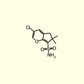 CC1(C)CC2=CC(Cl)=COC2=C1S(N)(=O)=O